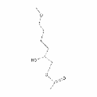 COCCCCC(O)COC(C)=O